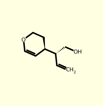 C=C[C@@H](CO)[C@H]1C=COCC1